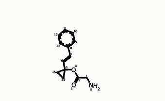 NCC(=O)OC1(C=Cc2ccccc2)CC1